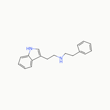 c1ccc(CCNCCc2c[nH]c3ccccc23)cc1